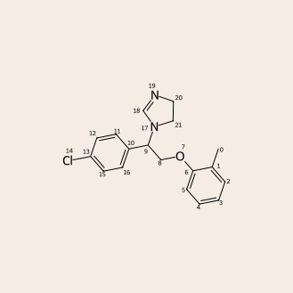 Cc1ccccc1OCC(c1ccc(Cl)cc1)N1C=NCC1